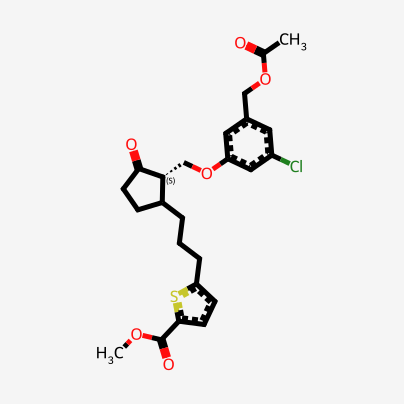 COC(=O)c1ccc(CCCC2CCC(=O)[C@@H]2COc2cc(Cl)cc(COC(C)=O)c2)s1